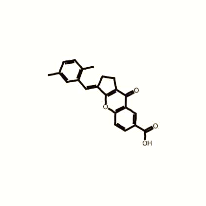 Cc1ccc(C)c(/C=C2\CCc3c2oc2ccc(C(=O)O)cc2c3=O)c1